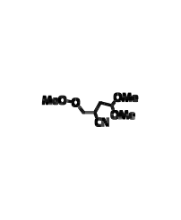 COOCC(C#N)CC(OC)OC